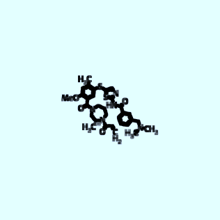 C=CC(=O)N1CCCN(C(=O)c2cc(Sc3cnc(NC(=O)c4cccc(CN(C)C)c4)s3)c(C)cc2OC)C[C@H]1C